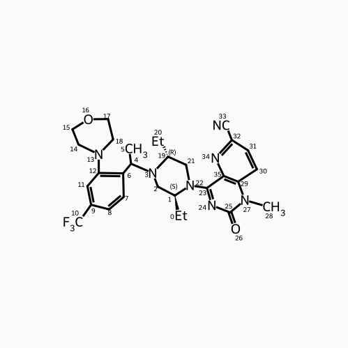 CC[C@H]1CN(C(C)c2ccc(C(F)(F)F)cc2N2CCOCC2)[C@H](CC)CN1c1nc(=O)n(C)c2ccc(C#N)nc12